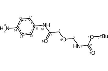 CC(C)(C)OC(=O)NCOCC(=O)Nc1ccc(N)cc1